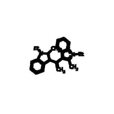 C=C(c1c(C)n(CC)c2ccccc12)C1c2ccccc2N(CC)C1C